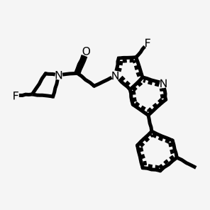 Cc1cccc(-c2cnc3c(F)cn(CC(=O)N4CC(F)C4)c3c2)c1